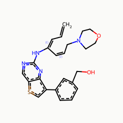 C=C/C=C(\C=C/CN1CCOCC1)Nc1ncc2scc(-c3cccc(CO)c3)c2n1